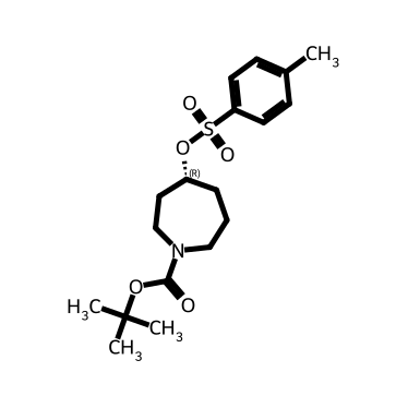 Cc1ccc(S(=O)(=O)O[C@@H]2CCCN(C(=O)OC(C)(C)C)CC2)cc1